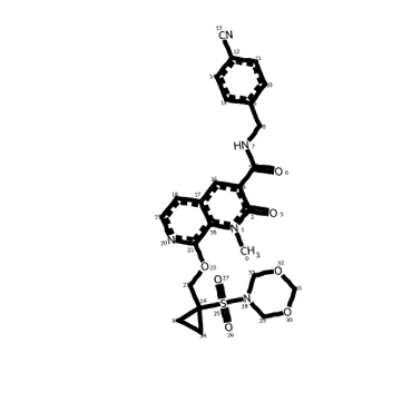 Cn1c(=O)c(C(=O)NCc2ccc(C#N)cc2)cc2ccnc(OCC3(S(=O)(=O)N4COCOC4)CC3)c21